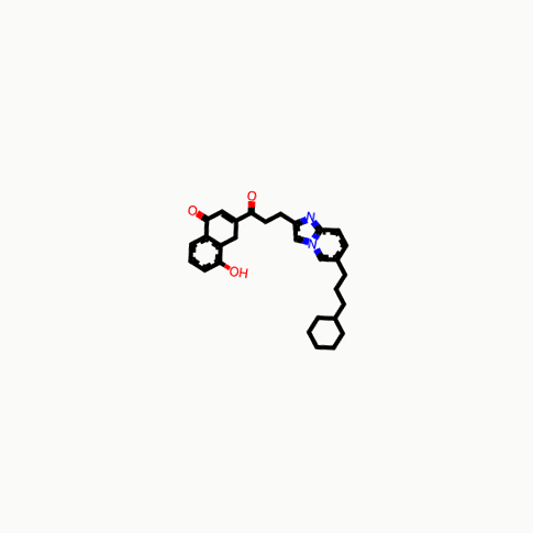 O=C(CCc1cn2cc(CCCC3CCCCC3)ccc2n1)C1=CC(=O)c2cccc(O)c2C1